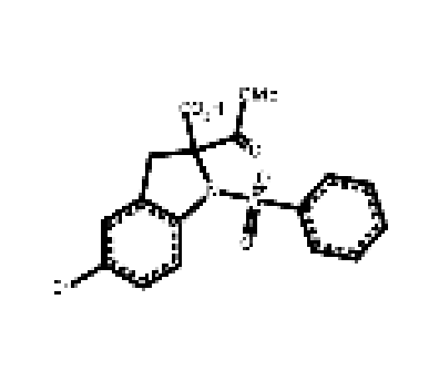 COC(=O)C1(C(=O)O)Cc2cc(Br)ccc2N1S(=O)(=O)c1ccccc1